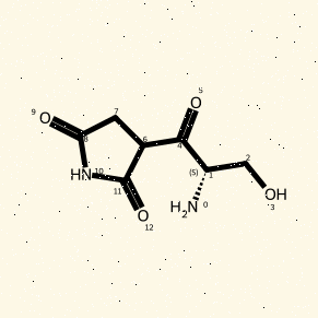 N[C@@H](CO)C(=O)C1CC(=O)NC1=O